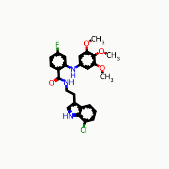 COc1cc(Nc2cc(F)ccc2C(=O)NCCc2c[nH]c3c(Cl)cccc23)cc(OC)c1OC